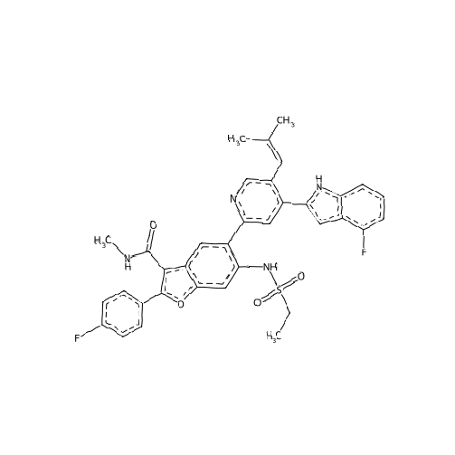 CCS(=O)(=O)Nc1cc2oc(-c3ccc(F)cc3)c(C(=O)NC)c2cc1-c1cc(-c2cc3c(F)cccc3[nH]2)c(C=C(C)C)cn1